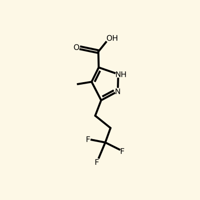 Cc1c(CCC(F)(F)F)n[nH]c1C(=O)O